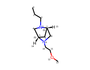 CCCN1C[C@@H]2C[C@H]1CN2CCOC